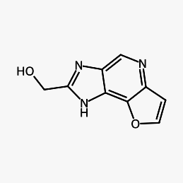 OCc1nc2cnc3ccoc3c2[nH]1